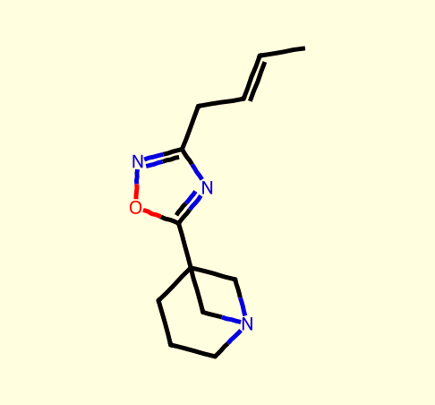 C/C=C/Cc1noc(C23CCCN(C2)C3)n1